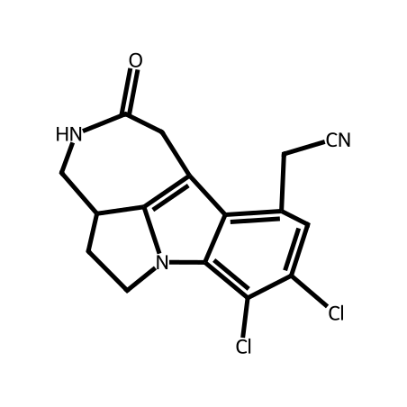 N#CCc1cc(Cl)c(Cl)c2c1c1c3n2CCC3CNC(=O)C1